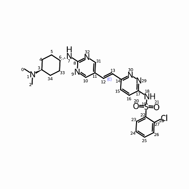 CN(C)[C@H]1CC[C@H](Nc2ncc(/C=C/c3ccc(NS(=O)(=O)c4ccccc4Cl)nn3)cn2)CC1